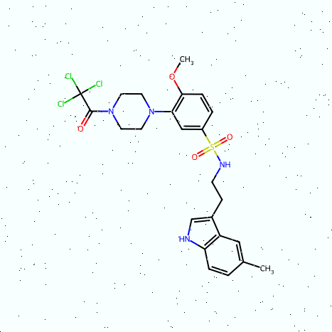 COc1ccc(S(=O)(=O)NCCc2c[nH]c3ccc(C)cc23)cc1N1CCN(C(=O)C(Cl)(Cl)Cl)CC1